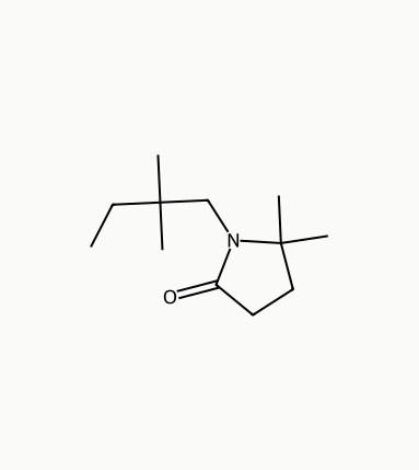 CCC(C)(C)CN1C(=O)CCC1(C)C